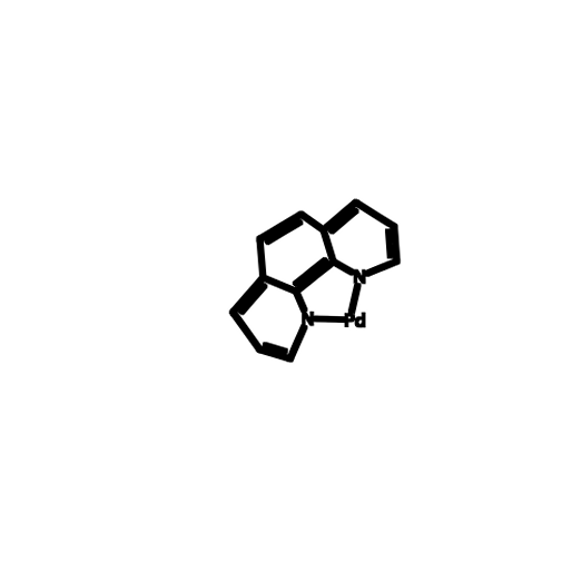 C1=C[N]2[Pd][N]3C=CC=c4ccc(c2c43)=C1